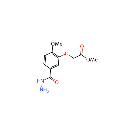 COC(=O)COc1cc(C(=O)NN)ccc1OC